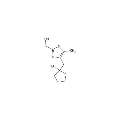 Cc1sc(CO)nc1CC1(C)CCCC1